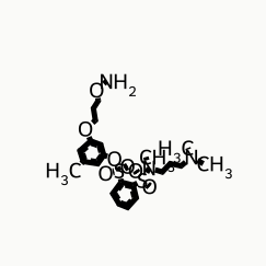 Cc1cc(OCCCON)cc(OS(=O)(=O)c2ccccc2S(=O)(=O)N(C)CCCN(C)C)c1